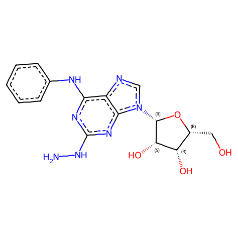 NNc1nc(Nc2ccccc2)c2ncn([C@@H]3O[C@H](CO)[C@H](O)[C@@H]3O)c2n1